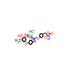 Cc1cc(Oc2ccc3nc(COc4ccc(CC5SC(=O)NC5=O)cc4)n(C)c3c2)cc(C)c1O.Cl